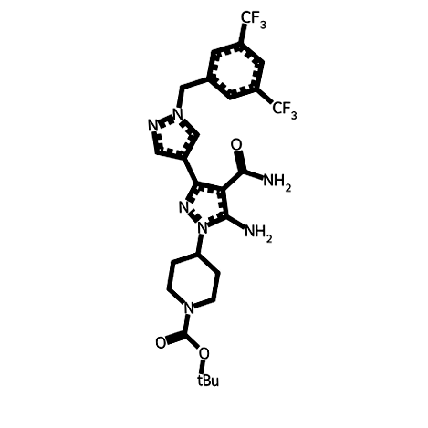 CC(C)(C)OC(=O)N1CCC(n2nc(-c3cnn(Cc4cc(C(F)(F)F)cc(C(F)(F)F)c4)c3)c(C(N)=O)c2N)CC1